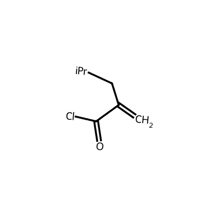 C=C(CC(C)C)C(=O)Cl